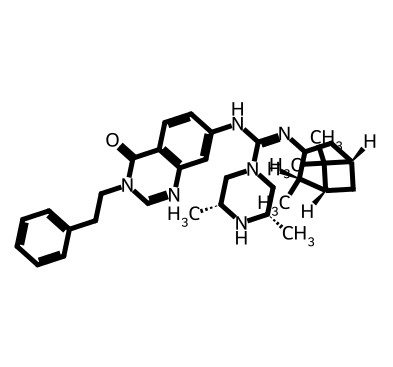 C[C@@H]1CN(/C(=N\C2C[C@@H]3C[C@H]([C@@H]2C)C3(C)C)Nc2ccc3c(=O)n(CCc4ccccc4)cnc3c2)C[C@H](C)N1